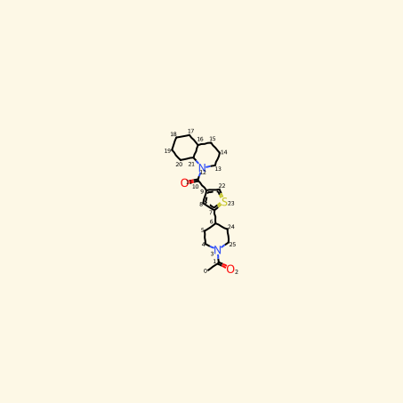 CC(=O)N1CCC(c2cc(C(=O)N3CCCC4CCCCC43)cs2)CC1